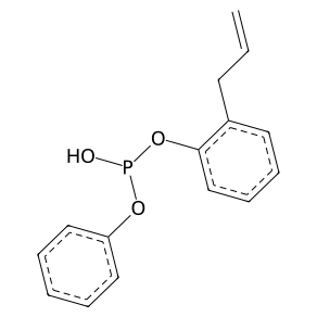 C=CCc1ccccc1OP(O)Oc1ccccc1